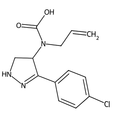 C=CCN(C(=O)O)C1CNN=C1c1ccc(Cl)cc1